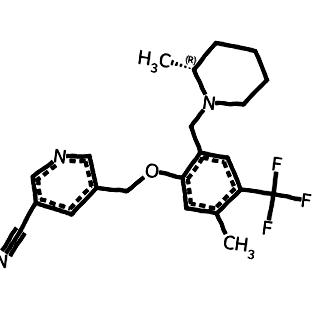 Cc1cc(OCc2cncc(C#N)c2)c(CN2CCCC[C@H]2C)cc1C(F)(F)F